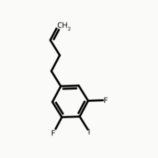 C=CCCc1cc(F)c(I)c(F)c1